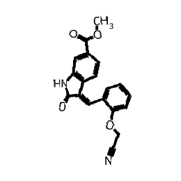 COC(=O)c1ccc2c(c1)NC(=O)/C2=C/c1ccccc1OCC#N